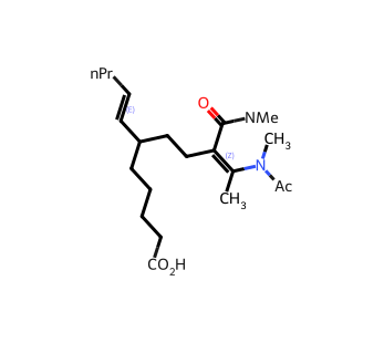 CCC/C=C/C(CCCCC(=O)O)CC/C(C(=O)NC)=C(\C)N(C)C(C)=O